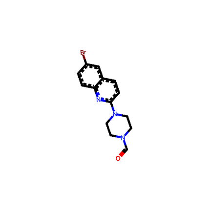 O=CN1CCN(c2ccc3cc(Br)ccc3n2)CC1